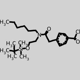 CCCCCCN(CCO[Si](C)(C)C(C)(C)C)C(=O)Cc1ccc(C(=O)Cl)cc1